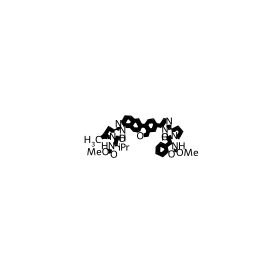 COC(=O)N[C@H](C(=O)N1C2C(C)C2C[C@H]1c1nc2ccc3cc4c(cc3c2[nH]1)OCc1cc(-c2cnc([C@@H]3CCCN3C(=O)[C@H](NC(=O)OC)c3ccccc3)[nH]2)ccc1-4)C(C)C